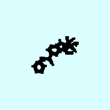 O=Cc1c(C(F)(F)P(=O)(O)O)sc2ccc(C(=O)Nc3ccccc3)cc12